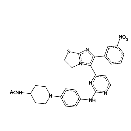 CC(=O)NC1CCN(c2ccc(Nc3nccc(-c4c(-c5cccc([N+](=O)[O-])c5)nc5n4CCS5)n3)cc2)CC1